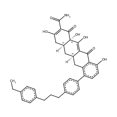 CCc1ccc(CCCc2ccc(-c3ccc(O)c4c3C[C@H]3C[C@H]5CC(O)=C(C(N)=O)C(=O)[C@@]5(O)C(O)=C3C4=O)cc2)cc1